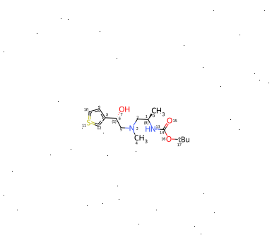 C[C@H](CN(C)C[C@@H](O)c1ccsc1)NC(=O)OC(C)(C)C